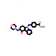 COC(=O)c1ccc(Cn2c3c(c4ccccc42)C(=O)C(CN2CCOCC2)CC3)cc1